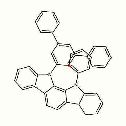 C1=CCC2C(=C1)N(c1ccccc1)c1c2ccc2c3ccccc3n(-c3cc(-c4ccccc4)cc(-c4ccccc4)c3)c12